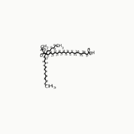 CCCCCCCCCCCCCCC(CCCCCC)(CCCCCCCCCCCCCCCCCC(=O)O)C(=O)OCC